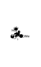 COc1ccc(Nc2nc(N(C)C)nc3c2CCN(c2ncccc2C(F)(F)F)CC3)cc1.O=C(O)C(F)(F)F